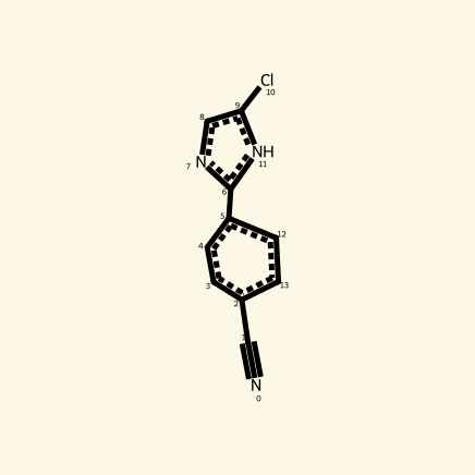 N#Cc1ccc(-c2ncc(Cl)[nH]2)cc1